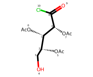 CC(=O)O[C@@H]([C@@H](CO)OC(C)=O)[C@@H](OC(C)=O)C(=O)Cl